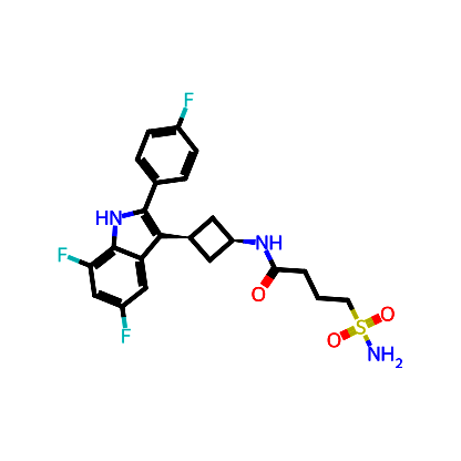 NS(=O)(=O)CCCC(=O)N[C@H]1C[C@@H](c2c(-c3ccc(F)cc3)[nH]c3c(F)cc(F)cc32)C1